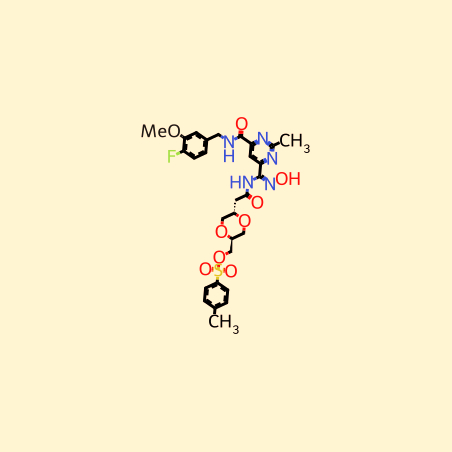 COc1cc(CNC(=O)c2cc(/C(=N\O)NC(=O)C[C@H]3CO[C@H](COS(=O)(=O)c4ccc(C)cc4)CO3)nc(C)n2)ccc1F